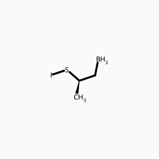 BC[C@@H](C)SI